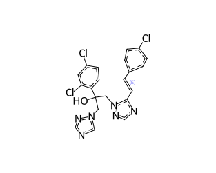 OC(Cn1cncn1)(Cn1ncnc1/C=C/c1ccc(Cl)cc1)c1ccc(Cl)cc1Cl